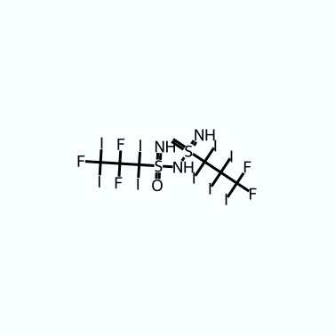 C=S(=N)(NS(=N)(=O)C(I)(I)C(F)(F)C(F)(I)I)C(I)(I)C(I)(I)C(F)(F)I